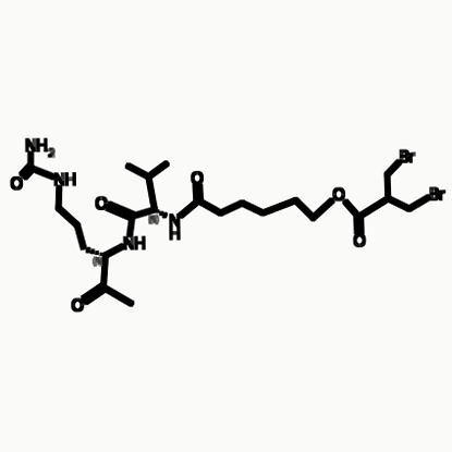 CC(=O)[C@H](CCCNC(N)=O)NC(=O)[C@@H](NC(=O)CCCCCOC(=O)C(CBr)CBr)C(C)C